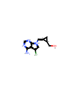 Nc1ncnc2c1c(Cl)cn2C=C1CC1CO